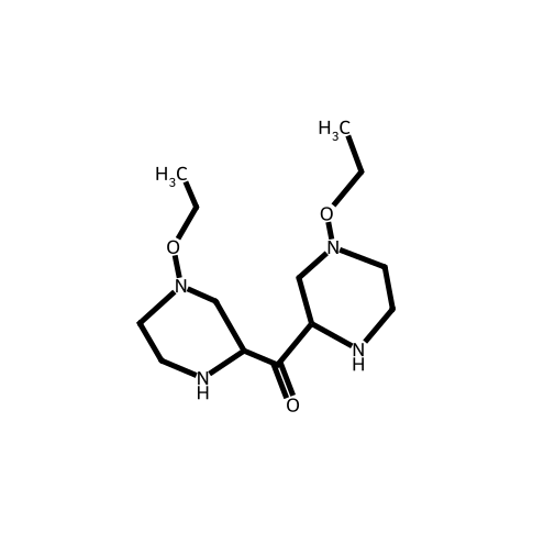 CCON1CCNC(C(=O)C2CN(OCC)CCN2)C1